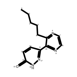 CCCCCc1nccnc1-c1ccc(=O)[nH]n1